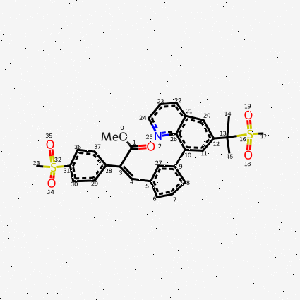 COC(=O)C(=Cc1cccc(-c2cc(C(C)(C)S(C)(=O)=O)cc3cccnc23)c1)c1ccc(S(C)(=O)=O)cc1